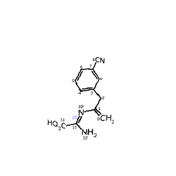 C=C(Cc1cccc(C#N)c1)/N=C(\N)C(=O)O